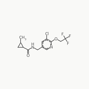 CC1CC1C(=O)NCc1cnc(OCC(F)(F)F)c(Cl)c1